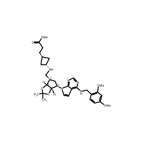 COC(=O)CC[C@H]1C[C@H](NC[C@H]2C[C@@H](n3ccc4c(NCc5ccc(OC)cc5OC)ncnc43)[C@@H]3OC(C)(C)O[C@H]23)C1